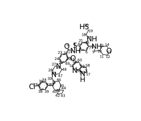 O=C(NSc1ccc(NCC2CCOCC2)c(NCCS)c1)c1ccc(N2CCN(CC3=C(c4ccc(Cl)cc4)CC4(CCC4)CC3)CC2)cc1Oc1cnc2[nH]ccc2c1